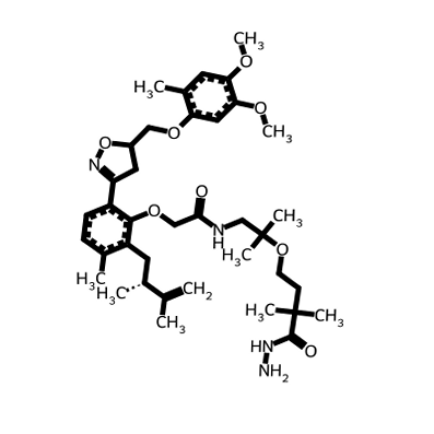 C=C(C)[C@H](C)Cc1c(C)ccc(C2=NOC(COc3cc(OC)c(OC)cc3C)C2)c1OCC(=O)NCC(C)(C)OCCC(C)(C)C(=O)NN